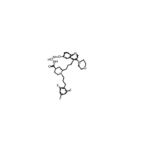 COc1ccc2ncc(N3CCOCC3)c(CCCC3CC(C(=O)NO)CCN3CCCc3c(F)cc(F)cc3F)c2c1